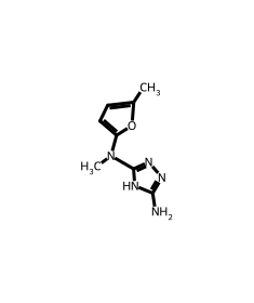 Cc1ccc(N(C)c2nnc(N)[nH]2)o1